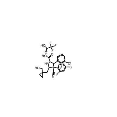 N#CC1(c2ccc(Cl)cc2F)C(CC2(CO)CC2)NC(C(=O)O)C1c1cccc(Cl)c1F.O=C(O)C(F)(F)F